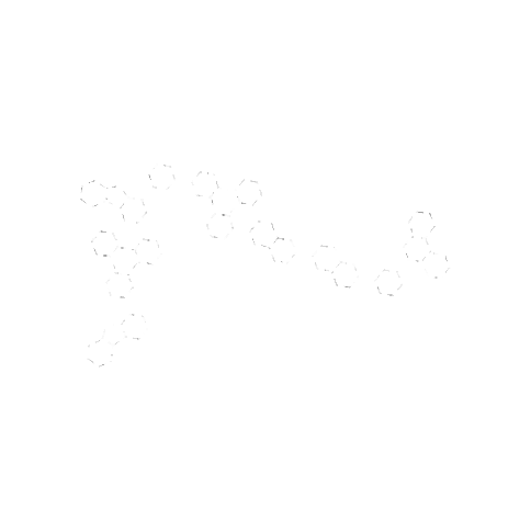 c1cc(-c2ccc3cc(-c4ccc5ccc(-c6cccc7c8ccc(-c9cccc(-c%10cc(-c%11cccc%12c%13cc(-c%14cccc%15c%14sc%14ccccc%14%15)ccc%13c%13ccccc%13c%11%12)cc%11c%10sc%10ccccc%10%11)c9)cc8c8ccccc8c67)cc5c4)ccc3c2)cc(-c2cc3ccccc3c3ccccc23)c1